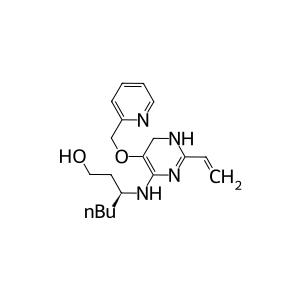 C=CC1=NC(N[C@H](CCO)CCCC)=C(OCc2ccccn2)CN1